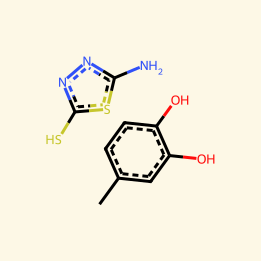 Cc1ccc(O)c(O)c1.Nc1nnc(S)s1